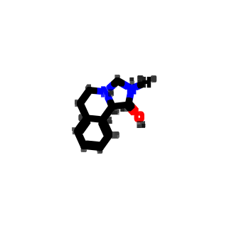 [2H]N1CN2CCc3ccccc3C2C1=O